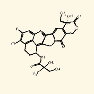 CC[C@@]1(O)C(=O)OCc2c1cc1n(c2=O)Cc2c-1nc1cc(F)c(Cl)c3c1c2C(NC(=O)C(C)(C)CO)CC3